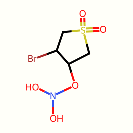 O=S1(=O)CC(Br)C(ON(O)O)C1